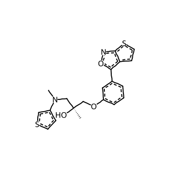 CN(C[C@](C)(O)COc1cccc(-c2onc3sccc23)c1)c1ccsc1